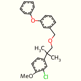 COc1ccc(C(C)(C)COCc2cccc(Oc3ccccc3)c2)cc1Cl